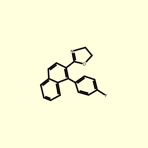 Fc1ccc(-c2c(C3=NCCO3)ccc3ccccc23)cc1